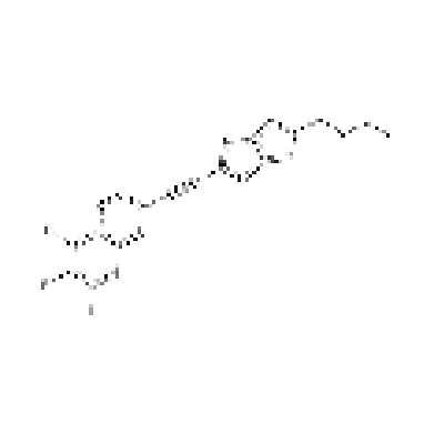 CCCCc1cc2sc(C#Cc3ccc4c(F)c(F)c(C)cc4c3)cc2s1